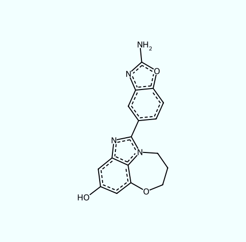 Nc1nc2cc(-c3nc4cc(O)cc5c4n3CCCO5)ccc2o1